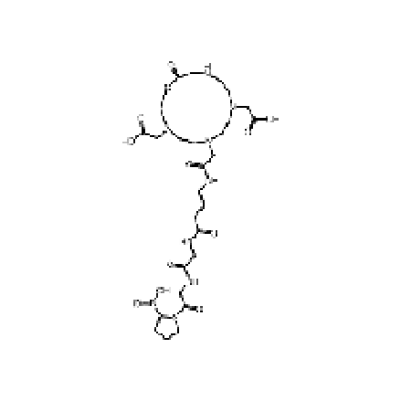 O=C(O)CN1CCNCC(=O)OCCN(CC(=O)O)CCN(CC(=O)NCCCC(=O)NCC(=O)NCC(=O)N2CCC[C@H]2B(O)O)CC1